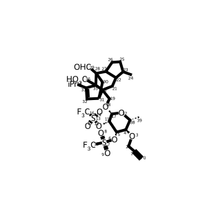 C#CCO[C@H]1[C@H](OS(=O)(=O)C(F)(F)F)[C@H](OS(=O)(=O)C(F)(F)F)[C@H](OCC23CC4C(C)CCC4C4(C=O)CC2C=C(C(C)C)C43C(=O)O)O[C@@H]1C